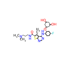 Cc1c(C(=O)NCCCN(C)C)sc2ncnc(Nc3ccc(F)cc3O[C@@H]3C[C@H](O)C[C@H](O)C3)c12